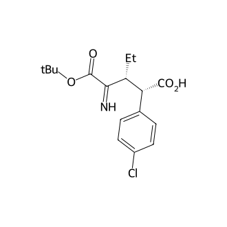 CC[C@@H](C(=N)C(=O)OC(C)(C)C)[C@H](C(=O)O)c1ccc(Cl)cc1